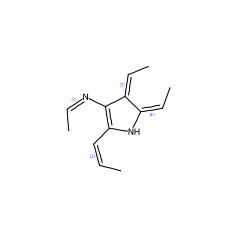 C/C=C\c1[nH]c(=C/C)/c(=C\C)c1/N=C\C